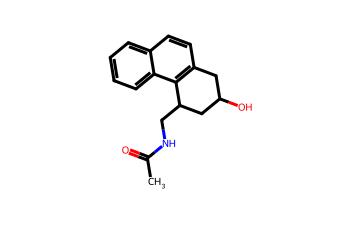 CC(=O)NCC1CC(O)Cc2ccc3ccccc3c21